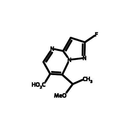 COC(C)c1c(C(=O)O)cnc2cc(F)nn12